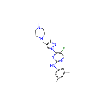 Cc1cc(C)cc(Nc2ncc(F)c(-n3cc(CN4CCN(C)CC4)c(C)n3)n2)c1